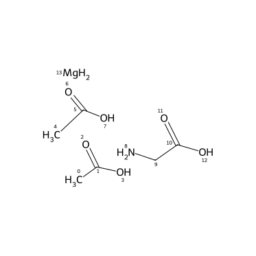 CC(=O)O.CC(=O)O.NCC(=O)O.[MgH2]